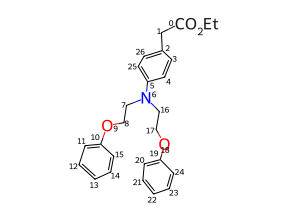 CCOC(=O)Cc1ccc(N(CCOc2ccccc2)CCOc2ccccc2)cc1